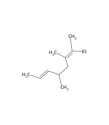 CC=CC(C)CC(C)=C(C)CC